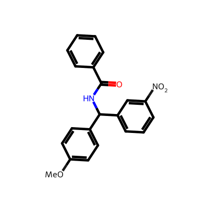 COc1ccc(C(NC(=O)c2ccccc2)c2cccc([N+](=O)[O-])c2)cc1